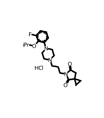 CC(C)Oc1c(F)cccc1N1CCN(CCCN2C(=O)CC3(CC3)C2=O)CC1.Cl